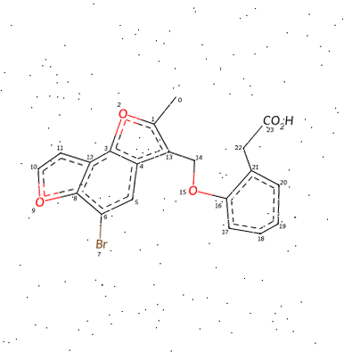 Cc1oc2c(cc(Br)c3occc32)c1COc1ccccc1CC(=O)O